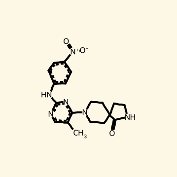 Cc1cnc(Nc2ccc([N+](=O)[O-])cc2)nc1N1CCC2(CCNC2=O)CC1